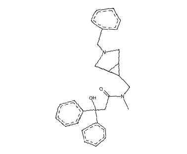 CN(CC1C2CN(Cc3ccccc3)CC21)C(=O)CC(O)(c1ccccc1)c1ccccc1